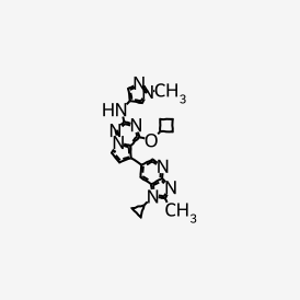 Cc1nc2ncc(-c3ccn4nc(Nc5cnn(C)c5)nc(OC5CCC5)c34)cc2n1C1CC1